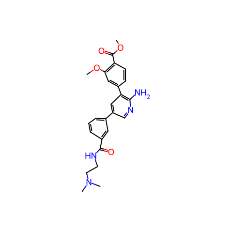 COC(=O)c1ccc(-c2cc(-c3cccc(C(=O)NCCN(C)C)c3)cnc2N)cc1OC